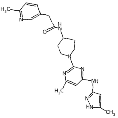 Cc1ccc(CC(=O)NC2CCN(c3nc(C)cc(Nc4cc(C)[nH]n4)n3)CC2)cn1